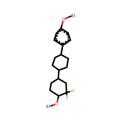 CCOc1ccc(C2CCC(C3CCC(OCC)C(F)(F)C3)CC2)cc1